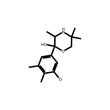 Cc1cc(C2(O)OCC(C)(C)NC2C)cc(Cl)c1C